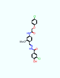 COc1cc(NC(=O)COc2ccc(Cl)cc2)ccc1C=NNC(=O)c1ccc(O)c(Cl)c1